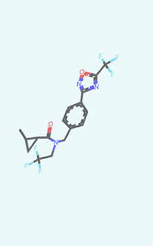 CC1CC1C(=O)N(Cc1ccc(-c2noc(C(F)(F)F)n2)cc1)CC(F)(F)F